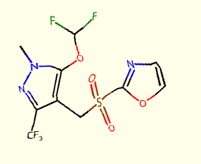 Cn1nc(C(F)(F)F)c(CS(=O)(=O)c2ncco2)c1OC(F)F